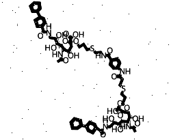 CC(=O)N[C@H]1[C@H]([C@H](O)[C@H](O)CNC(=O)c2ccc(-c3ccccc3)cc2)O[C@@](OCCCSCCNC(=O)c2ccc(NC(=O)CCSCCCO[C@]3(C(=O)O)C[C@H](O)[C@@H](NC(C)=O)[C@H]([C@H](O)[C@H](O)CNC(=O)c4ccc(-c5ccccc5)cc4)O3)cc2)(C(=O)O)C[C@@H]1O